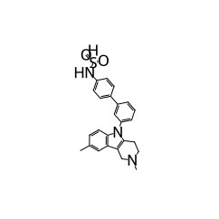 Cc1ccc2c(c1)c1c(n2-c2cccc(-c3ccc(N[SH](=O)=O)cc3)c2)CCN(C)C1